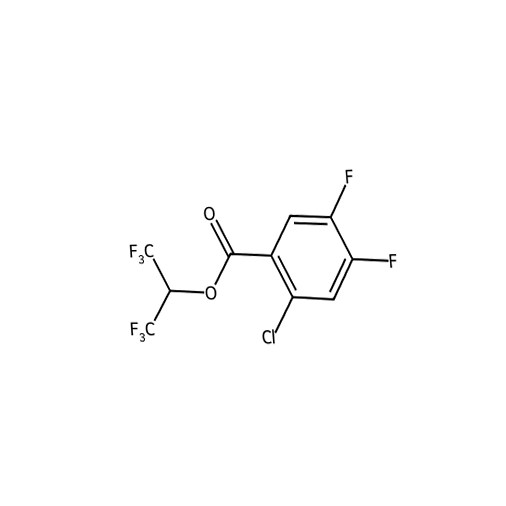 O=C(OC(C(F)(F)F)C(F)(F)F)c1cc(F)c(F)cc1Cl